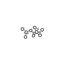 CC1(C)c2ccccc2-c2c1c1c(c3ccccc3n1-c1ccccc1)c1c3ccccc3n(-c3cccc(-c4cc(-c5ccccc5)nc(-c5ccccc5)n4)c3)c21